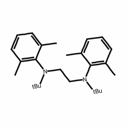 Cc1cccc(C)c1N(CCN(c1c(C)cccc1C)C(C)(C)C)C(C)(C)C